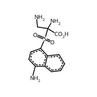 NCC(N)(C(=O)O)S(=O)(=O)c1ccc(N)c2ccccc12